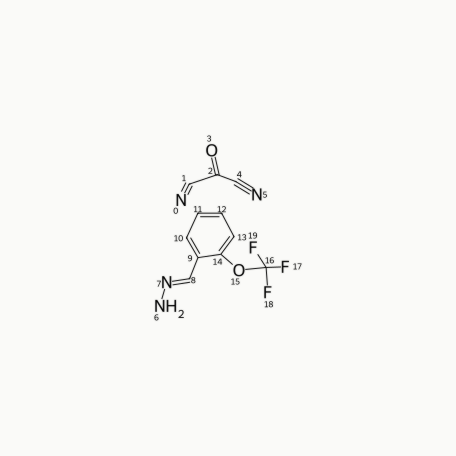 N#CC(=O)C#N.NN=Cc1ccccc1OC(F)(F)F